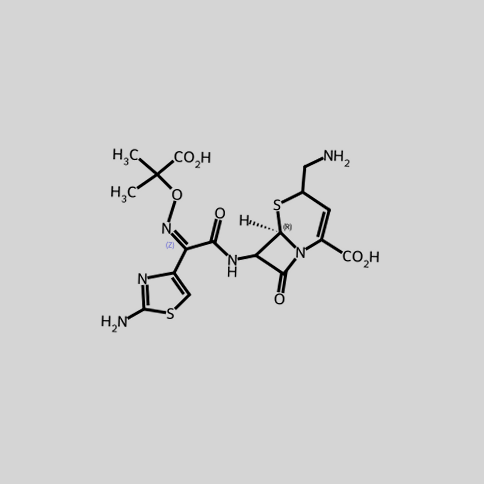 CC(C)(O/N=C(\C(=O)NC1C(=O)N2C(C(=O)O)=CC(CN)S[C@H]12)c1csc(N)n1)C(=O)O